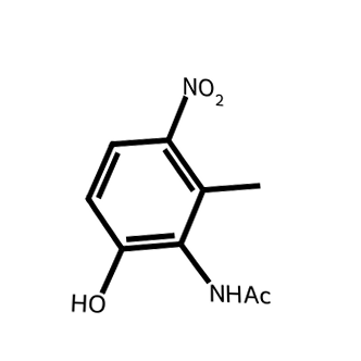 CC(=O)Nc1c(O)ccc([N+](=O)[O-])c1C